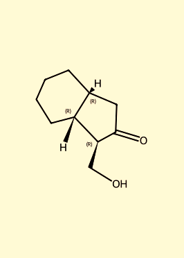 O=C1C[C@H]2CCCC[C@H]2[C@@H]1CO